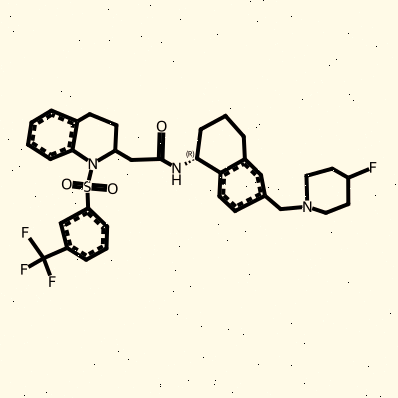 O=C(CC1CCc2ccccc2N1S(=O)(=O)c1cccc(C(F)(F)F)c1)N[C@@H]1CCCc2cc(CN3CCC(F)CC3)ccc21